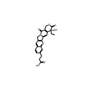 CC[C@@]1(O)C(=O)OCc2c1cc1n(c2=O)Cc2cc3ccc(CCC(=O)O)cc3nc2-1